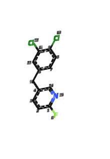 Fc1ccc([CH]c2ccc(Cl)c(Cl)c2)cn1